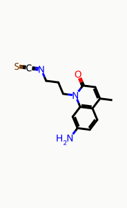 Cc1cc(=O)n(CCCN=C=S)c2cc(N)ccc12